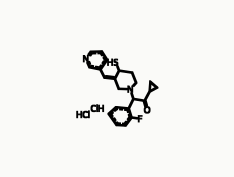 Cl.Cl.O=C(C1CC1)C(c1ccccc1F)N1CCC(S)/C(=C\c2cccnc2)C1